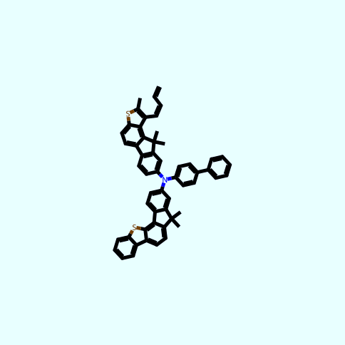 C=C/C=C\c1c(C)sc2ccc3c(c12)C(C)(C)c1cc(N(c2ccc(-c4ccccc4)cc2)c2ccc4c(c2)C(C)(C)c2ccc5c(sc6ccccc65)c2-4)ccc1-3